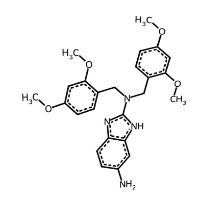 COc1ccc(CN(Cc2ccc(OC)cc2OC)c2nc3ccc(N)cc3[nH]2)c(OC)c1